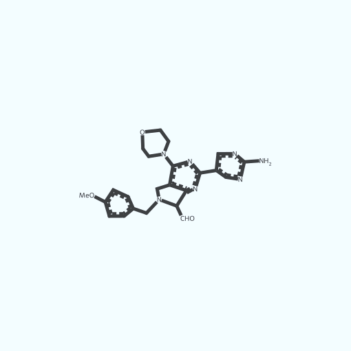 COc1ccc(CN2Cc3c(nc(-c4cnc(N)nc4)nc3N3CCOCC3)C2C=O)cc1